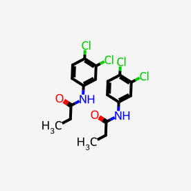 CCC(=O)Nc1ccc(Cl)c(Cl)c1.CCC(=O)Nc1ccc(Cl)c(Cl)c1